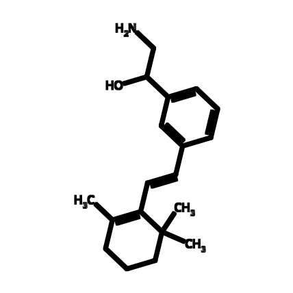 CC1=C(C=Cc2cccc(C(O)CN)c2)C(C)(C)CCC1